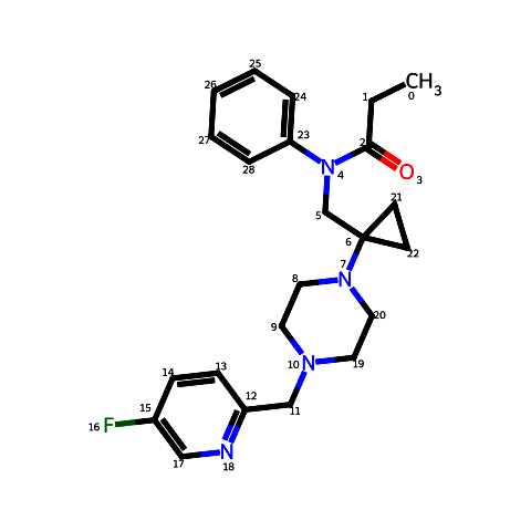 CCC(=O)N(CC1(N2CCN(Cc3ccc(F)cn3)CC2)CC1)c1ccccc1